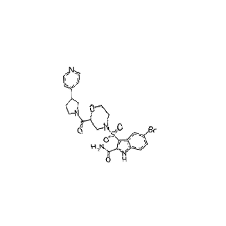 NC(=O)c1[nH]c2ccc(Br)cc2c1S(=O)(=O)N1CCOC(C(=O)N2CCC(c3ccncc3)C2)C1